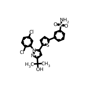 CC(C)(O)c1cc(-c2ccc(-c3cccc(S(N)(=O)=O)c3)s2)n(-c2cc(Cl)ccc2Cl)n1